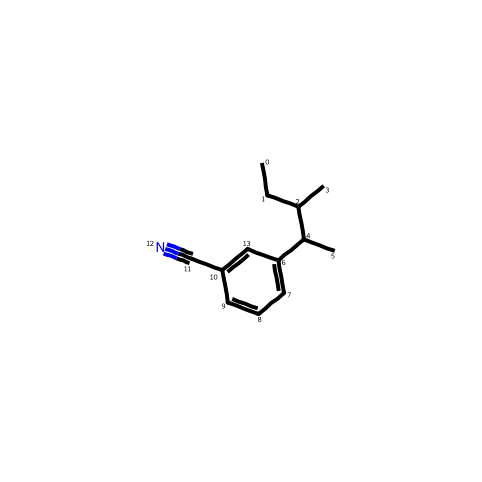 CCC(C)C(C)c1cccc(C#N)c1